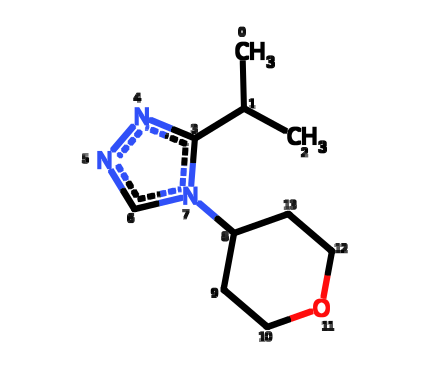 CC(C)c1nncn1C1CCOCC1